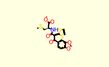 COC(=O)[C@H](CSC)NC(=O)C(C(=O)c1ccc2c(c1)OCO2)=C1SC=CS1